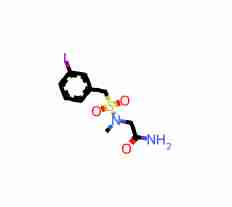 CN(CC(N)=O)S(=O)(=O)Cc1cccc(I)c1